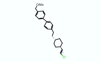 COCc1ccc(-c2ccc(CC[C@H]3CC[C@H](/C=C/Cl)CC3)cc2)cc1